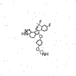 CC(F)(F)c1cc(F)ccc1-c1sc2c(ccc3[nH]ncc32)c1Oc1ccc(OC2CNC2)cc1